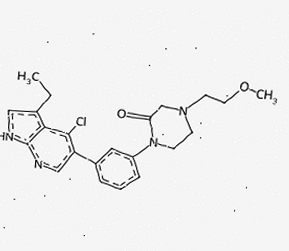 CCc1c[nH]c2ncc(-c3cccc(N4CCN(CCOC)CC4=O)c3)c(Cl)c12